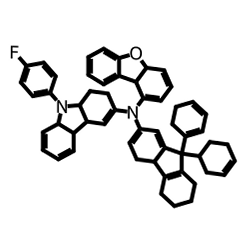 Fc1ccc(N2C3C=CC=CC3C3C=C(N(C4=CCC5C(=C4)C(C4=CC=CCC4)(C4CC=CCC4)C4=C5CCCC4)C4=CC=CC5Oc6ccccc6C45)CCC32)cc1